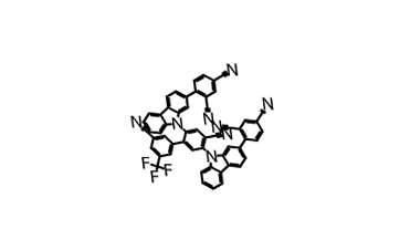 N#Cc1cc(-c2cc(-n3c4ccccc4c4ccc(-c5ccc(C#N)cc5C#N)cc43)c(C#N)cc2-n2c3ccccc3c3ccc(-c4ccc(C#N)cc4C#N)cc32)cc(C(F)(F)F)c1